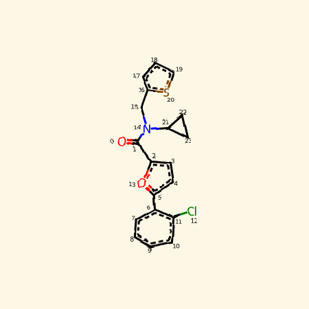 O=C(c1ccc(-c2ccccc2Cl)o1)N(Cc1cccs1)C1CC1